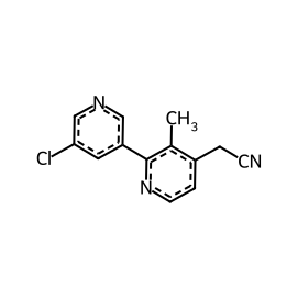 Cc1c(CC#N)ccnc1-c1cncc(Cl)c1